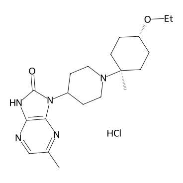 CCO[C@H]1CC[C@](C)(N2CCC(n3c(=O)[nH]c4ncc(C)nc43)CC2)CC1.Cl